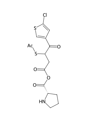 CC(=O)SC(CC(=O)OC(=O)[C@@H]1CCCN1)C(=O)c1csc(Cl)c1